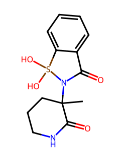 CC1(N2C(=O)c3ccccc3S2(O)O)CCCNC1=O